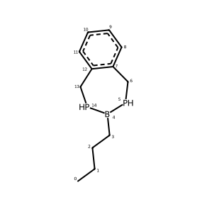 CCCCB1PCc2ccccc2CP1